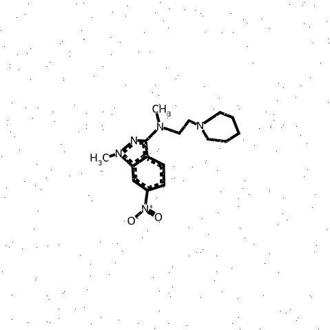 CN(CCN1CCCCC1)c1nn(C)c2cc([N+](=O)[O-])ccc12